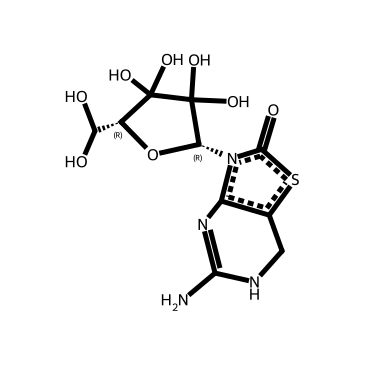 NC1=Nc2c(sc(=O)n2[C@@H]2O[C@H](C(O)O)C(O)(O)C2(O)O)CN1